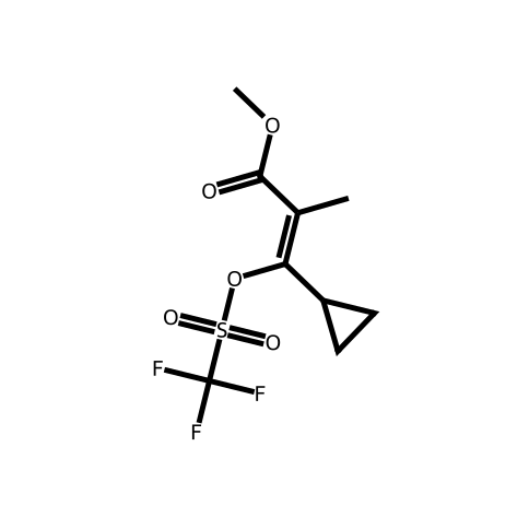 COC(=O)/C(C)=C(\OS(=O)(=O)C(F)(F)F)C1CC1